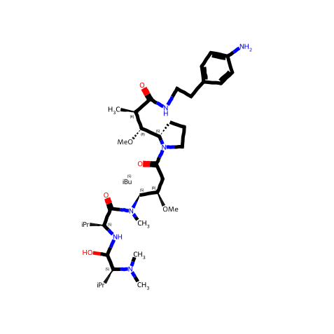 CC[C@H](C)[C@@H]([C@@H](CC(=O)N1CCC[C@H]1[C@H](OC)[C@@H](C)C(=O)NCCc1ccc(N)cc1)OC)N(C)C(=O)[C@@H](NC(O)[C@H](C(C)C)N(C)C)C(C)C